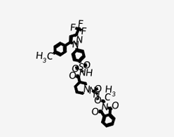 Cc1ccc(-c2cc(C(F)(F)F)nn2-c2ccc(S(=O)(=O)NC(=O)C3CCCN(n4on4OC(C)N4C(=O)c5ccccc5C4=O)C3)cc2)cc1